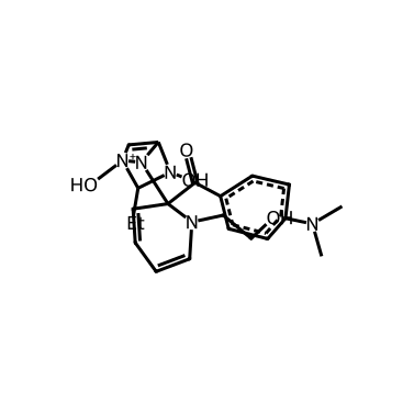 CCC1N(O)C2=C[N+]1(O)N2C1(C(=O)c2ccc(N(C)C)cc2)C=CC=CN1CCO